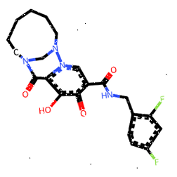 O=C(NCc1ccc(F)cc1F)c1cn2c(c(O)c1=O)C(=O)N1CCCCCCN2C1